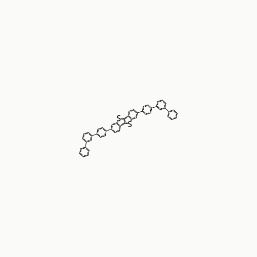 c1ccc(-c2cccc(-c3ccc(-c4ccc5c(c4)sc4c6ccc(-c7ccc(-c8cccc(-c9ccccc9)c8)cc7)cc6sc54)cc3)c2)cc1